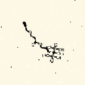 C#CCOCCC(=O)NCCCC(O)(P(=O)(O)O)P(=O)(O)O